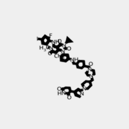 Cc1c(=O)n(C)c(Nc2ccc(I)cc2F)c2c(=O)n(C3CC3)c(=O)n(-c3cccc(NCC4CCC(C(=O)N5CCN(CC6CCN(c7cc(C8CCC(=O)NC8=O)ccn7)CC6)CC5)CC4)c3)c12